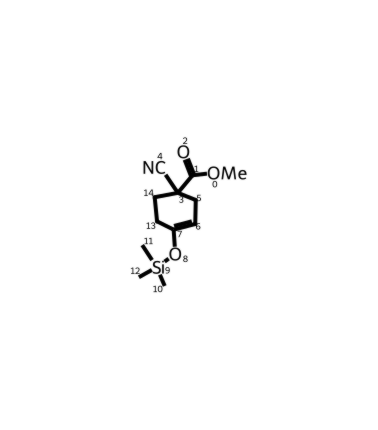 COC(=O)C1(C#N)CC=C(O[Si](C)(C)C)CC1